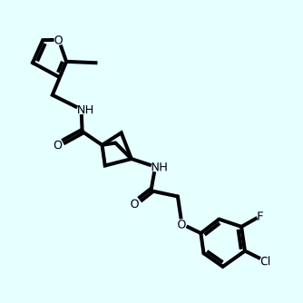 Cc1occc1CNC(=O)C12CC(NC(=O)COc3ccc(Cl)c(F)c3)(C1)C2